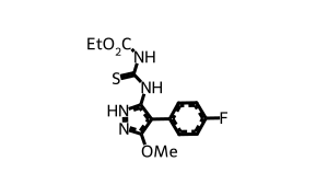 CCOC(=O)NC(=S)Nc1[nH]nc(OC)c1-c1ccc(F)cc1